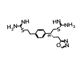 N=C(N)SCCc1ccc([C@@H](CCc2nnco2)CSC(=N)N)cc1